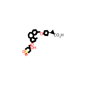 Cc1cc(OCC2(O)CCS(=O)(=O)CC2)cc2c1-c1cc(COc3ccc([C@H]4C[C@@H]4C(=O)O)cc3)ccc1CCC2